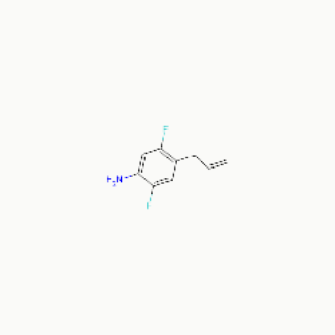 C=CCc1cc(F)c(N)cc1F